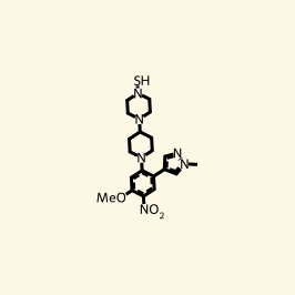 COc1cc(N2CCC(N3CCN(S)CC3)CC2)c(-c2cnn(C)c2)cc1[N+](=O)[O-]